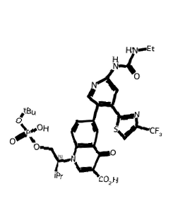 CCNC(=O)Nc1cc(-c2nc(C(F)(F)F)cs2)c(-c2ccc3c(c2)c(=O)c(C(=O)O)cn3[C@H](COP(=O)(O)OC(C)(C)C)C(C)C)cn1